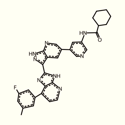 Cc1cc(F)cc(-c2ccnc3[nH]c(-c4n[nH]c5ncc(-c6cncc(NC(=O)C7CCCCC7)c6)cc45)nc23)c1